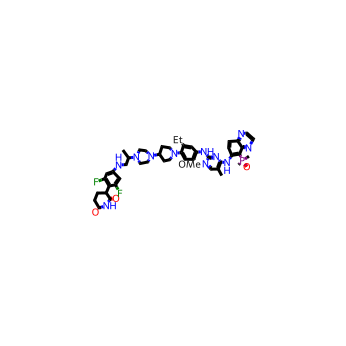 CCc1cc(Nc2ncc(C)c(Nc3ccc4nccnc4c3P(C)(C)=O)n2)c(OC)cc1N1CCC(N2CCN(C(C)CNc3cc(F)c(C4CCC(=O)NC4=O)c(F)c3)CC2)CC1